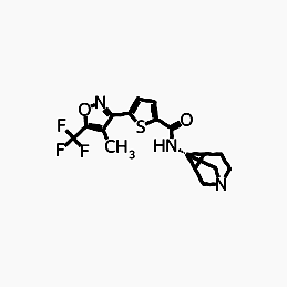 Cc1c(-c2ccc(C(=O)N[C@@]34CN5CCC3C4C5)s2)noc1C(F)(F)F